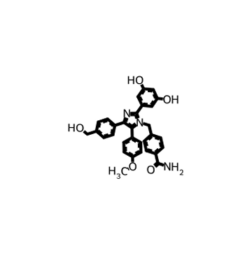 COc1ccc(-c2c(-c3ccc(CO)cc3)nc(-c3cc(O)cc(O)c3)n2Cc2ccc(C(N)=O)cc2)cc1